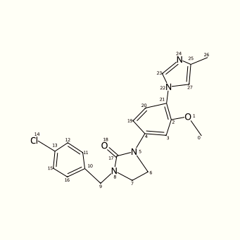 COc1cc(N2CCN(Cc3ccc(Cl)cc3)C2=O)ccc1-n1cnc(C)c1